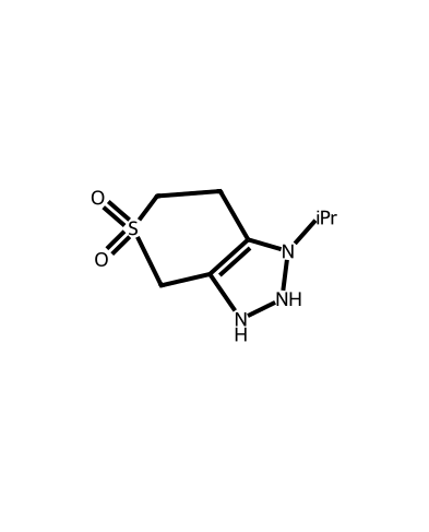 CC(C)N1NNC2=C1CCS(=O)(=O)C2